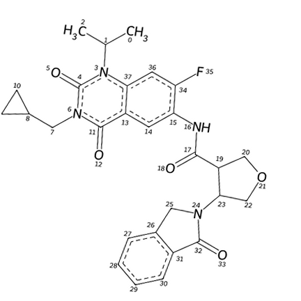 CC(C)n1c(=O)n(CC2CC2)c(=O)c2cc(NC(=O)C3COCC3N3Cc4ccccc4C3=O)c(F)cc21